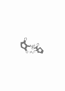 CC1(C(=O)ONC2C(=O)CCC2=O)CC=CC1